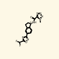 Cn1nnnc1C(=O)N[C@@H]1CCc2cc(-c3noc(C(F)F)n3)ccc21